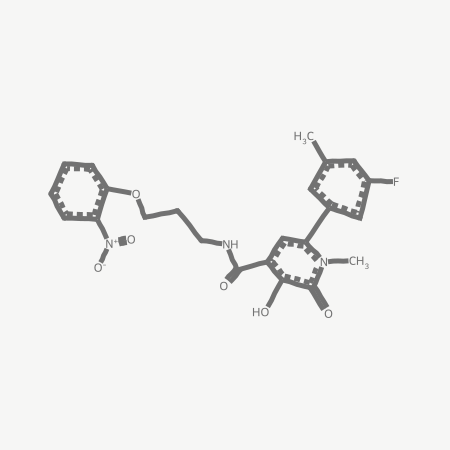 Cc1cc(F)cc(-c2cc(C(=O)NCCCOc3ccccc3[N+](=O)[O-])c(O)c(=O)n2C)c1